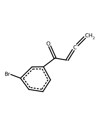 C=C=CC(=O)c1cccc(Br)c1